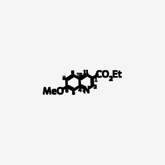 CCOC(=O)c1cnc2cc(OC)ccc2c1